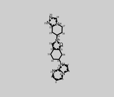 c1cnc2n(c1)cc[n+]2C1CCc2c[n+](C3CCn4cnnc4C3)oc2C1